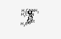 CCOCc1nc2c(N)nc(C)c(C)c2n1CCC[S+](C)[O-]